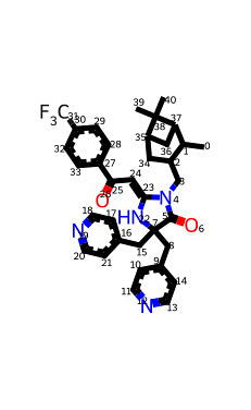 CC1C(CN2C(=O)C(Cc3ccncc3)(Cc3ccncc3)NC2=CC(=O)c2ccc(C(F)(F)F)cc2)CC2CC1C2(C)C